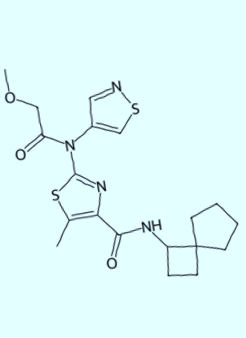 COCC(=O)N(c1cnsc1)c1nc(C(=O)NC2CCC23CCCC3)c(C)s1